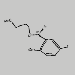 CC[C@H](OCCOC)c1cc(F)ccc1OC